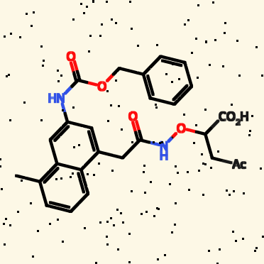 CC(=O)CC(ONC(=O)Cc1cc(NC(=O)OCc2ccccc2)cc2c(C)cccc12)C(=O)O